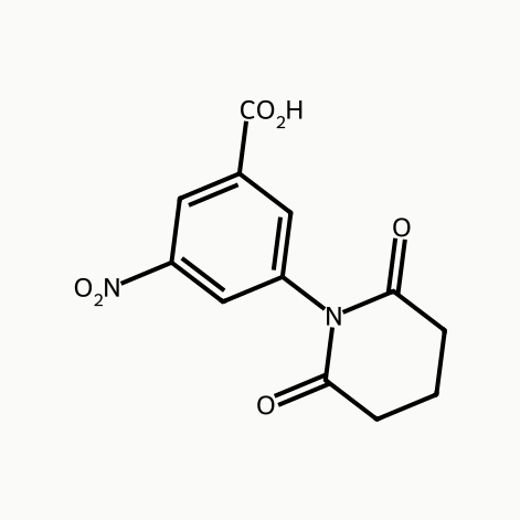 O=C(O)c1cc(N2C(=O)CCCC2=O)cc([N+](=O)[O-])c1